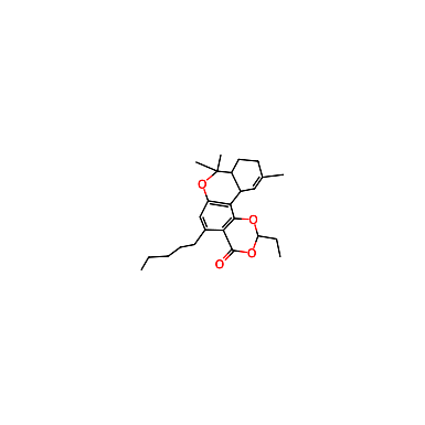 CCCCCc1cc2c(c3c1C(=O)OC(CC)O3)C1C=C(C)CCC1C(C)(C)O2